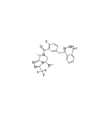 C=C1NN=C(Cc2ccc(F)c(C(=O)N3CC(N(C)C)n4c(nnc4C(F)(F)F)C3C)c2)c2ccccc21